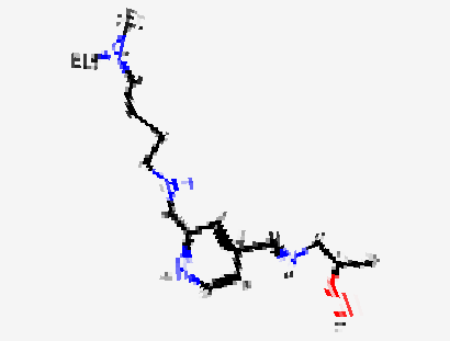 CCN(CC)CCCCNCc1cc(C=NCC(C)O)ccn1